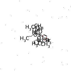 CCCCO[C@H]1[C@H]2OC(C)(C)O[C@H]2O[C@@H]1[C@H](CCCBr)O[Si](c1ccccc1)(c1ccccc1)C(C)(C)C